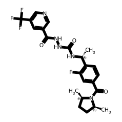 C[C@@H]1CC[C@H](C)N1C(=O)c1ccc([C@@H](C)NC(=O)NNC(=O)c2cncc(C(F)(F)F)c2)c(F)c1